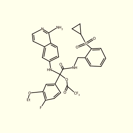 CCOc1cc(C(Nc2ccc3c(N)nccc3c2)(OC(=O)C(F)(F)F)C(=O)NCc2ccccc2S(=O)(=O)C2CC2)ccc1F